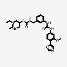 CCN(CC)CC(CO)OC(=O)NCc1cccc(NC(=O)Nc2ccc(-c3cnco3)c(OC)c2)c1